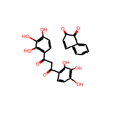 O=C(CC(=O)c1ccc(O)c(O)c1O)c1ccc(O)c(O)c1O.O=C1C=Cc2ccccc2C1=O